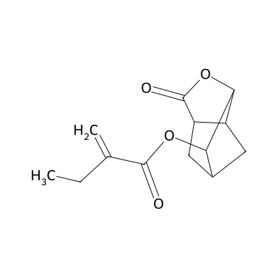 C=C(CC)C(=O)OC1C2CC3C(=O)OC1C3C2